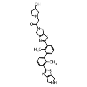 Cc1c(-c2nc3c(s2)CNC3)cccc1-c1cccc(-c2nc3c(s2)CN(C(=O)CN2CCC(O)C2)C3)c1C